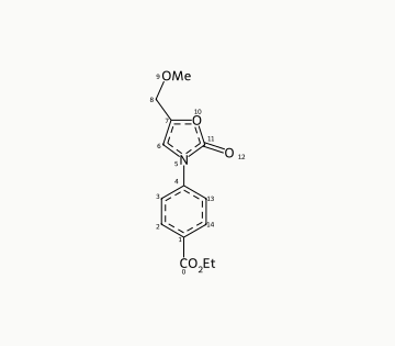 CCOC(=O)c1ccc(-n2cc(COC)oc2=O)cc1